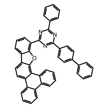 c1ccc(-c2ccc(-c3nc(-c4ccccc4)nc(-c4cccc5c4oc4c5ccc5c6ccccc6c6ccccc6c54)n3)cc2)cc1